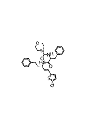 O=C(N[C@H](C=Cc1ccc(Cl)s1)CCc1ccccc1)[C@H](Cc1ccccc1)NC(=O)N1CCOCC1